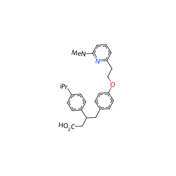 CNc1cccc(CCOc2ccc(CC(CC(=O)O)c3ccc(C(C)C)cc3)cc2)n1